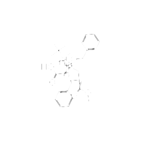 COC(=O)[C@@](C)(C[C@@H](O[Si](C)(C)C(C)(C)C)C(=O)O)CP(=O)(OCc1ccccc1)OCc1ccccc1